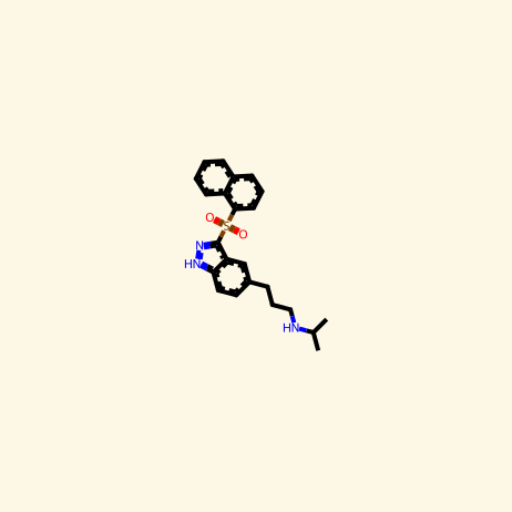 CC(C)NCCCc1ccc2[nH]nc(S(=O)(=O)c3cccc4ccccc34)c2c1